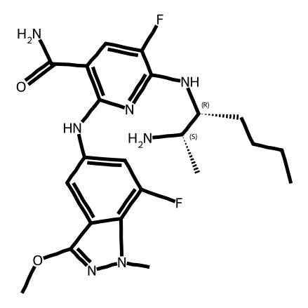 CCCC[C@@H](Nc1nc(Nc2cc(F)c3c(c2)c(OC)nn3C)c(C(N)=O)cc1F)[C@H](C)N